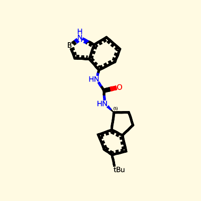 CC(C)(C)c1ccc2c(c1)CC[C@@H]2NC(=O)Nc1cccc2[nH]bcc12